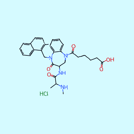 CNC(C)C(=O)NC1CN(C(=O)CCCCC(=O)O)c2ccccc2N(Cc2c(C)ccc3ccccc23)C1=O.Cl